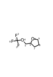 FC(F)(F)OC[C]1CCCO1